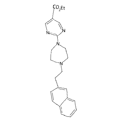 CCOC(=O)c1cnc(N2CCN(CCc3ccc4ccccc4c3)CC2)nc1